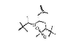 C=S(C)C[C@H](CN(C(C)(C)C)S(C)(=O)=O)O[C@@H](C)C(C)(C)C